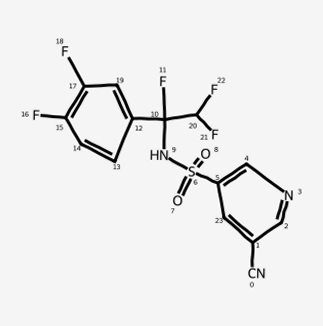 N#Cc1cncc(S(=O)(=O)NC(F)(c2ccc(F)c(F)c2)C(F)F)c1